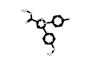 COC(=O)c1cc(-c2ccc(SC)cc2)n(-c2ccc(F)cc2)n1